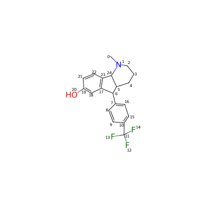 CN1CCCC2C(c3ccc(C(F)(F)F)cc3)c3cc(O)ccc3C21